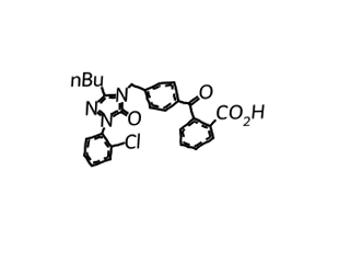 CCCCc1nn(-c2ccccc2Cl)c(=O)n1Cc1ccc(C(=O)c2ccccc2C(=O)O)cc1